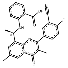 Cc1cc([C@@H](C)Nc2ccccc2C(=O)O)c2nc(-c3ccc(F)c(C#N)c3)c(C)c(=O)n2c1